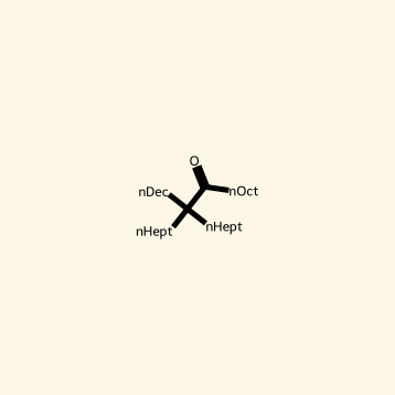 CCCCCCCCCCC(CCCCCCC)(CCCCCCC)C(=O)CCCCCCCC